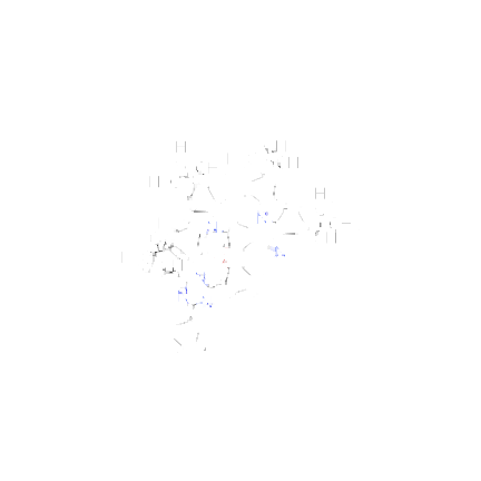 CC(C)(C)c1ccc2c(c1)c1cc(C(C)(C)C)ccc1n2-c1cc(-n2c3ccc(C(C)(C)C)cc3c3cc(C(C)(C)C)ccc32)c2oc3c(-c4nc(-c5ccccc5)nc(-c5ccccc5)n4)cccc3c2c1C#N